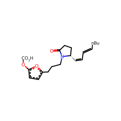 CCCC/C=C/C=C\[C@H]1CCC(=O)N1CCCc1ccc(OC(=O)O)o1